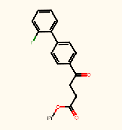 CC(C)OC(=O)CCC(=O)c1ccc(-c2ccccc2F)cc1